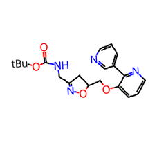 CC(C)(C)OC(=O)NCC1=NOC(COc2cccnc2-c2cccnc2)C1